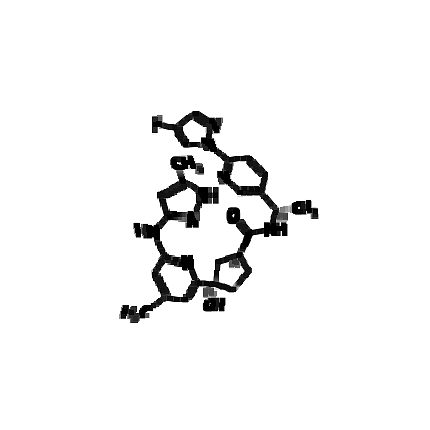 Cc1cc(Nc2cc(C)[nH]n2)nc([C@]2(O)CC[C@H](C(=O)N[C@@H](C)c3ccc(-n4cc(F)cn4)nc3)C2)c1